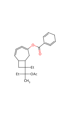 CCC(C)(OC(C)=O)C1(CC)CC2C=C=C=C(OC(=O)C3=C=CCC=C3)CC21